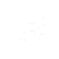 CN1CCC(C)(/C(C=N)=C2\Nc3cc(F)cc(C(N)=O)c3N2)C1